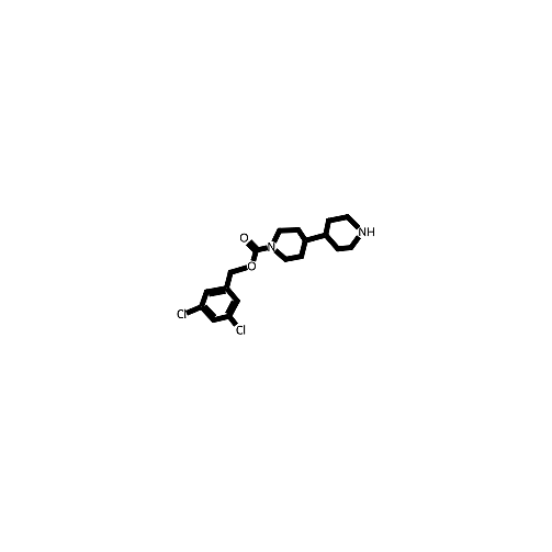 O=C(OCc1cc(Cl)cc(Cl)c1)N1CCC(C2CCNCC2)CC1